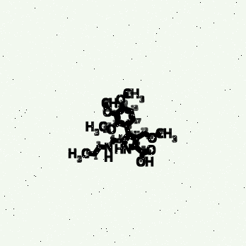 CCCNCc1[nH]c(C(=O)O)c(COC)c1-c1ccc(OC)c(OC)c1OC